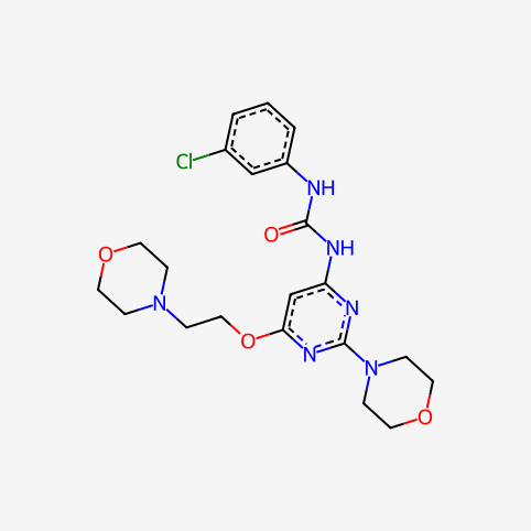 O=C(Nc1cccc(Cl)c1)Nc1cc(OCCN2CCOCC2)nc(N2CCOCC2)n1